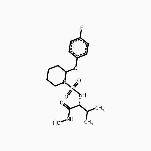 CC(C)[C@@H](NS(=O)(=O)N1CCCCC1Oc1ccc(F)cc1)C(=O)NO